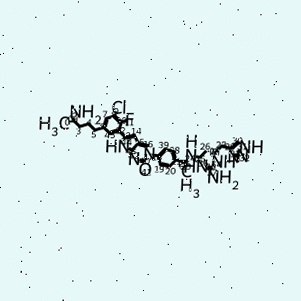 C[C@H](N)CCCc1cc(Cl)c(F)c(-c2cc3cn(-c4ccc([C@H](C)NCC[C@H](Cc5c[nH]nn5)NC(=N)N)cc4)c(=O)nc3[nH]2)c1